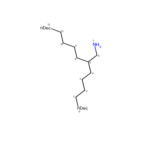 CCCCCCCCCCCCCCC(CN)CCCCCCCCCCCCCC